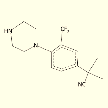 CC(C)(C#N)c1ccc(N2CCNCC2)c(C(F)(F)F)c1